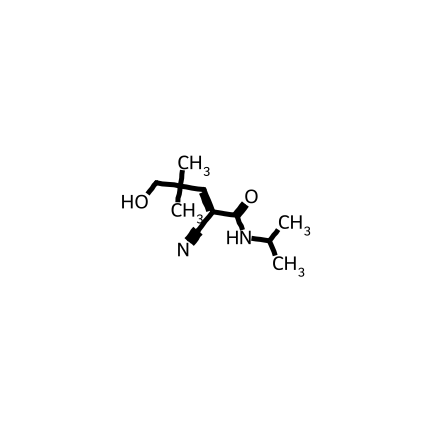 CC(C)NC(=O)/C(C#N)=C/C(C)(C)CO